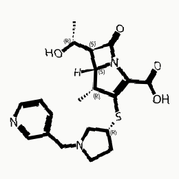 C[C@@H](O)[C@H]1C(=O)N2C(C(=O)O)=C(S[C@@H]3CCN(Cc4cccnc4)C3)[C@H](C)[C@H]12